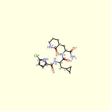 NC(=O)C(C[C@@H]1CCCNC1=O)NC(=O)C(CC1CC1)NC(=O)c1ccc(Cl)[nH]1